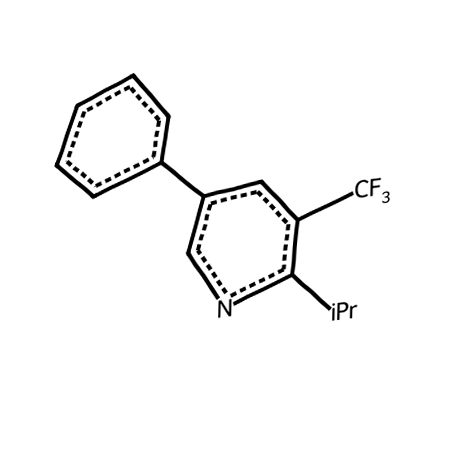 CC(C)c1ncc(-c2ccccc2)cc1C(F)(F)F